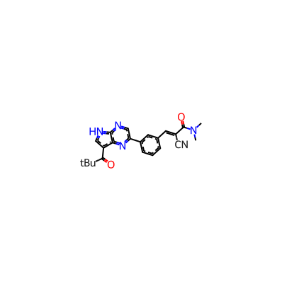 CN(C)C(=O)/C(C#N)=C/c1cccc(-c2cnc3[nH]cc(C(=O)C(C)(C)C)c3n2)c1